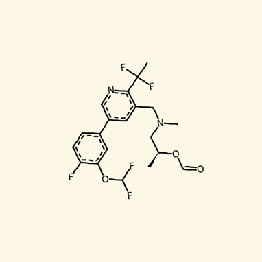 C[C@@H](CN(C)Cc1cc(-c2ccc(F)c(OC(F)F)c2)cnc1C(C)(F)F)OC=O